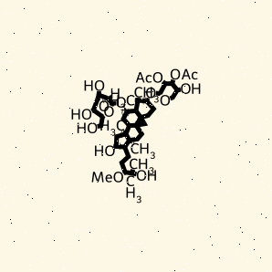 COC(CCC1[C@@H](O)C[C@@]2(C)C3C[C@H](OC4OC(CO)C(O)C5O[C@@H]4C5O)C4C(C)(C)[C@@H](OC5OCC(O)C(OC(C)=O)C5OC(C)=O)CCC45CC35CC[C@]12C)C(C)(C)O